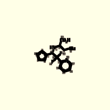 CC(C)(C)CC(N[C@@H](c1ccsc1)C(F)(F)c1ccccn1)C(=O)O